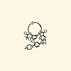 COc1cc(Nc2ncc3c(=O)n4n(c3n2)-c2ccc3c(c2)N(CCCCSCC/C=C\C4)C(=O)C(C)(C)O3)ccc1N1CCN(C)CC1